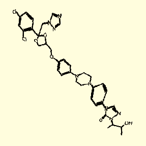 CC(O)C(C)n1ncn(-c2ccc(N3CCN(c4ccc(OCC5COC(Cn6cncn6)(c6ccc(Cl)cc6Cl)O5)cc4)CC3)cc2)c1=O